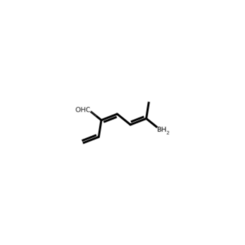 B/C(C)=C/C=C(\C=C)C=O